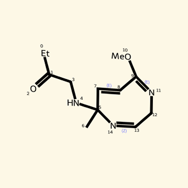 CCC(=O)CNC1(C)/C=C/C(OC)=N\C/C=N\1